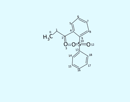 CCC(=O)c1ccccc1S(=O)(=O)c1ccccc1